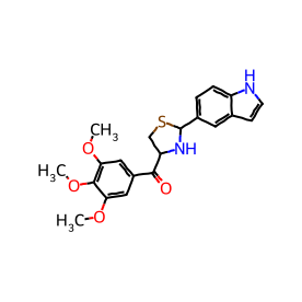 COc1cc(C(=O)C2CSC(c3ccc4[nH]ccc4c3)N2)cc(OC)c1OC